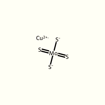 [Cu+2].[S]=[Mo](=[S])([S-])[S-]